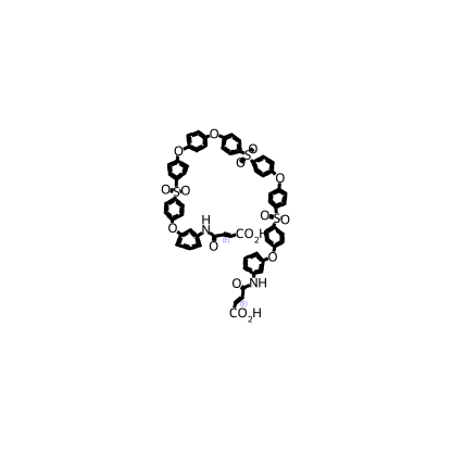 O=C(O)/C=C/C(=O)Nc1cccc(Oc2ccc(S(=O)(=O)c3ccc(Oc4ccc(Oc5ccc(S(=O)(=O)c6ccc(Oc7ccc(S(=O)(=O)c8ccc(Oc9cccc(NC(=O)/C=C/C(=O)O)c9)cc8)cc7)cc6)cc5)cc4)cc3)cc2)c1